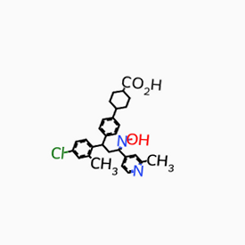 Cc1cc(C(CC(c2ccc(C3CCC(C(=O)O)CC3)cc2)c2ccc(Cl)cc2C)=NO)ccn1